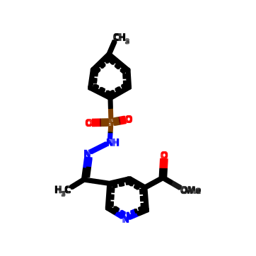 COC(=O)c1cncc(/C(C)=N\NS(=O)(=O)c2ccc(C)cc2)c1